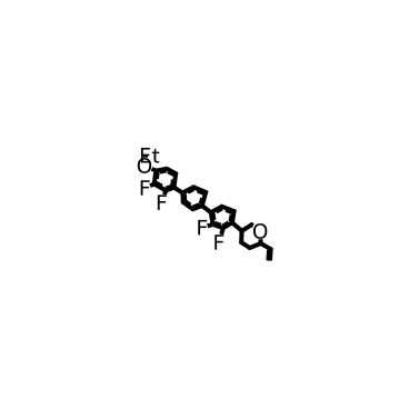 C=CC1CCC(c2ccc(-c3ccc(-c4ccc(OCC)c(F)c4F)cc3)c(F)c2F)CO1